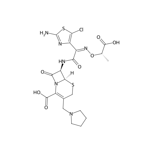 C[C@H](O/N=C(\C(=O)N[C@@H]1C(=O)N2C(C(=O)O)=C(CN3CCCC3)CS[C@H]12)c1nc(N)sc1Cl)C(=O)O